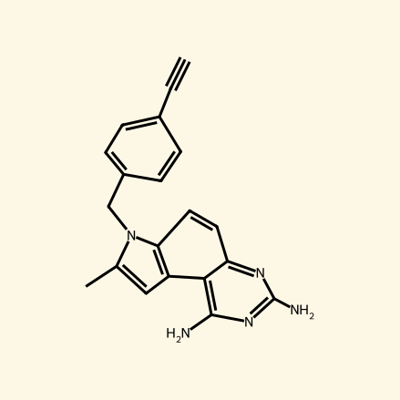 C#Cc1ccc(Cn2c(C)cc3c4c(N)nc(N)nc4ccc32)cc1